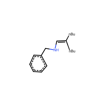 CCCCC(=CNCc1ccccc1)CCCC